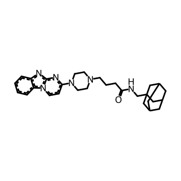 O=C(CCCN1CCN(c2ccn3c(n2)nc2ccccc23)CC1)NCC12CC3CC(CC(C3)C1)C2